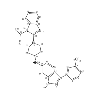 Cn1nc(-c2ccnc(C(F)(F)F)c2)c2ccc(NC3CCN(c4nc5ccccc5n4C(F)F)CC3)cc21